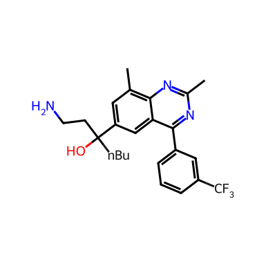 CCCCC(O)(CCN)c1cc(C)c2nc(C)nc(-c3cccc(C(F)(F)F)c3)c2c1